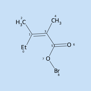 CC/C(C)=C(/C)C(=O)OBr